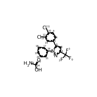 FC(F)(F)c1cc(-c2ccc(Cl)c(Cl)c2)n(-c2ccccc2)n1.NC(=O)O